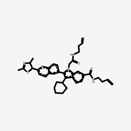 C=CCCNC(=O)Cn1c(-c2ccc3nc(C4SC(C)=NC4C)ccc3c2)c(C2CCCCC2)c2ccc(C(=O)NCCC=C)cc21